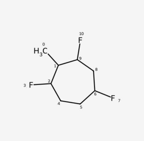 CC1C(F)CCC(F)CC1F